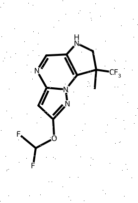 CC1(C(F)(F)F)CNc2cnc3cc(OC(F)F)nn3c21